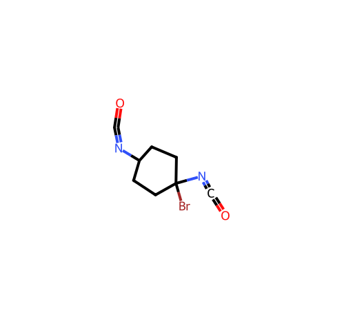 O=C=NC1CCC(Br)(N=C=O)CC1